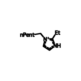 CCCCCC[n+]1cc[nH]c1CC